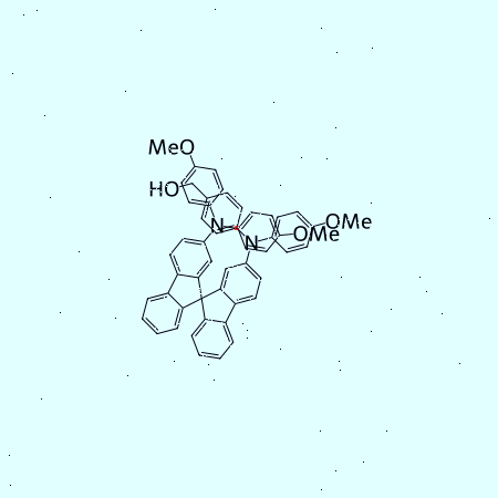 COc1ccc(N(c2ccc(CO)cc2)c2ccc3c(c2)C2(c4ccccc4-3)c3ccccc3-c3ccc(N(c4ccc(OC)cc4)c4ccc(OC)cc4)cc32)cc1